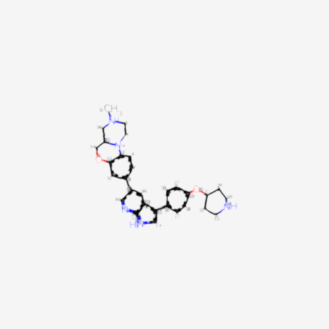 CN1CCN2c3ccc(-c4cnc5[nH]cc(-c6ccc(OC7CCNCC7)cc6)c5c4)cc3OCC2C1